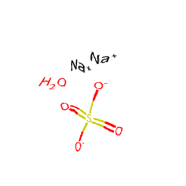 O.O=S(=O)([O-])[O-].[Na+].[Na+]